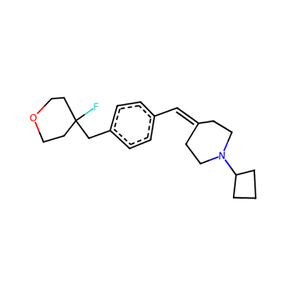 FC1(Cc2ccc(C=C3CCN(C4CCC4)CC3)cc2)CCOCC1